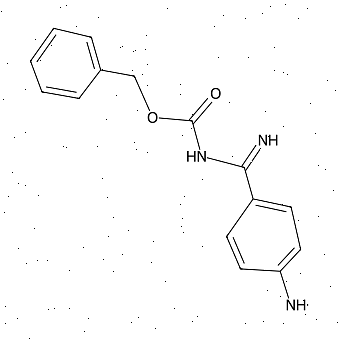 [NH]c1ccc(C(=N)NC(=O)OCc2ccccc2)cc1